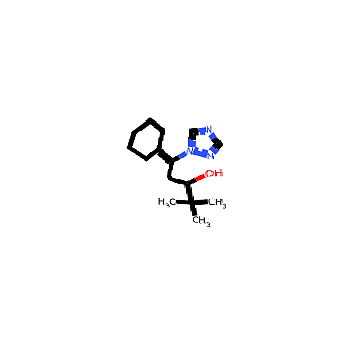 CC(C)(C)C(O)CC(=C1CCCCC1)n1cncn1